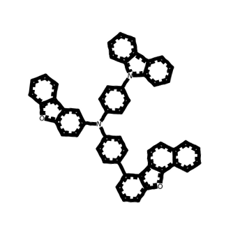 c1ccc2c(c1)ccc1c2oc2cccc(-c3ccc(N(c4ccc(-n5c6ccccc6c6ccccc65)cc4)c4ccc5oc6ccccc6c5c4)cc3)c21